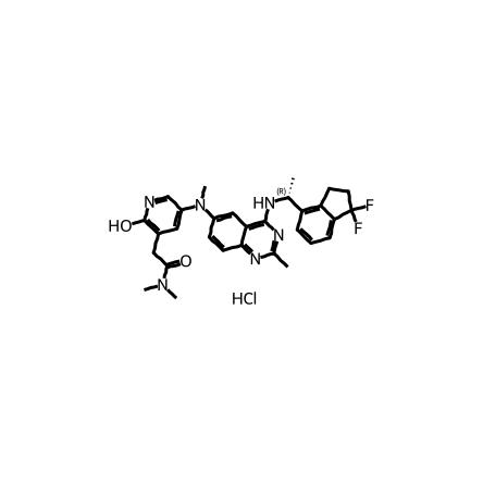 Cc1nc(N[C@H](C)c2cccc3c2CCC3(F)F)c2cc(N(C)c3cnc(O)c(CC(=O)N(C)C)c3)ccc2n1.Cl